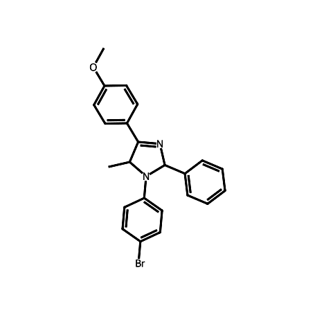 COc1ccc(C2=NC(c3ccccc3)N(c3ccc(Br)cc3)C2C)cc1